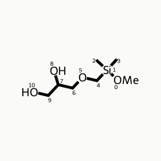 CO[Si](C)(C)COCC(O)CO